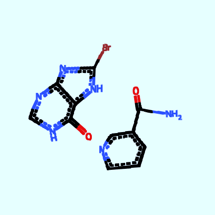 NC(=O)c1cccnc1.O=c1[nH]cnc2nc(Br)[nH]c12